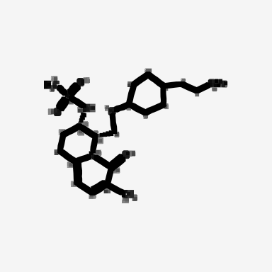 COCCC1CCC(OC[C@H]2[C@@H](NS(C)(=O)=O)CCc3ccc(C)c(=O)n32)CC1